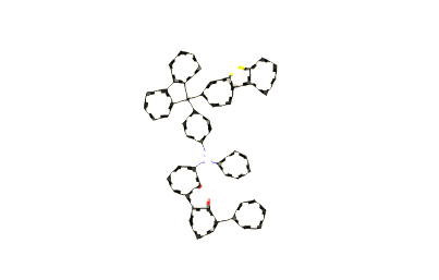 c1ccc(-c2cccc3c2oc2c(N(c4ccccc4)c4ccc(C5(c6ccc7c(c6)sc6ccccc67)c6ccccc6-c6ccccc65)cc4)cccc23)cc1